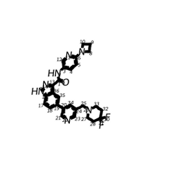 O=C(Nc1ccc(N2CCC2)nc1)c1n[nH]c2ccc(-c3cncc(CN4CCC(F)(F)CC4)c3)cc12